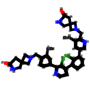 COc1cc(-c2nccc(-c3cccc(-c4cnc(CN5CC6(CNC(=O)C6)C5)c(OC)c4)c3Cl)c2Cl)ccc1CN1CC2(CNC(=O)C2)C1